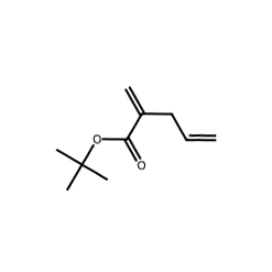 C=CCC(=C)C(=O)OC(C)(C)C